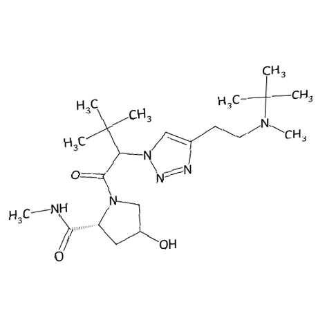 CNC(=O)[C@H]1CC(O)CN1C(=O)C(n1cc(CCN(C)C(C)(C)C)nn1)C(C)(C)C